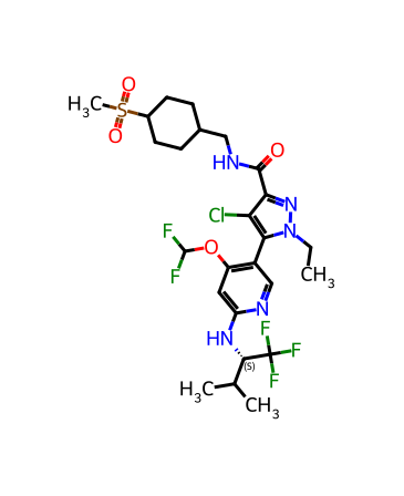 CCn1nc(C(=O)NCC2CCC(S(C)(=O)=O)CC2)c(Cl)c1-c1cnc(N[C@@H](C(C)C)C(F)(F)F)cc1OC(F)F